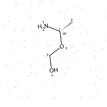 C[C@@H](N)OCO